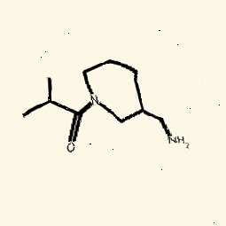 CC(C)C(=O)N1CCCC(CN)C1